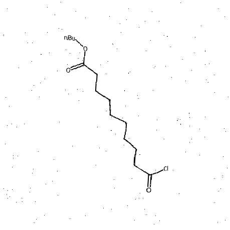 CCCCOC(=O)CCCCCCCCC(=O)Cl